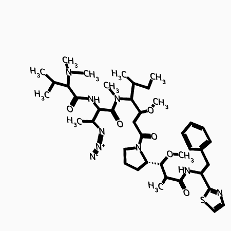 CCC(C)C(C(CC(=O)N1CCC[C@H]1C(OC)C(C)C(=O)NC(Cc1ccccc1)c1nccs1)OC)N(C)C(=O)C(NC(=O)C(C(C)C)N(C)C)C(C)N=[N+]=[N-]